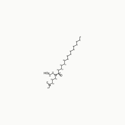 CCCCCCCCCCCCCCCC(=O)N(CCO)CCCN(C)C